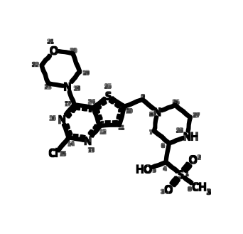 CS(=O)(=O)C(O)C1CN(Cc2cc3nc(Cl)nc(N4CCOCC4)c3s2)CCN1